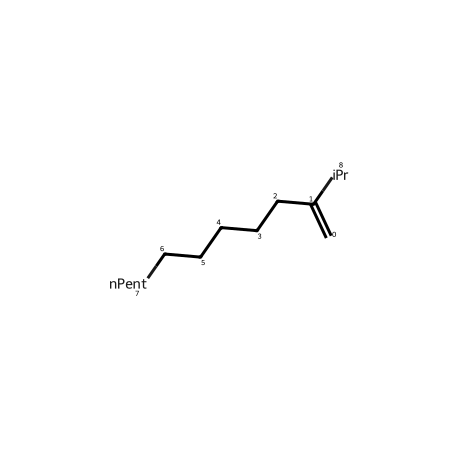 C=C(CCCCCCCCCC)C(C)C